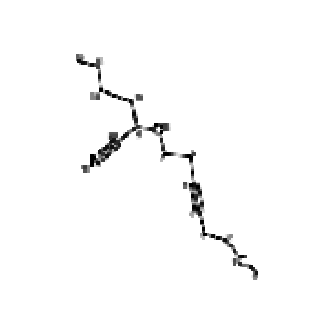 CCCCC#CCCOC(C#N)CCCC